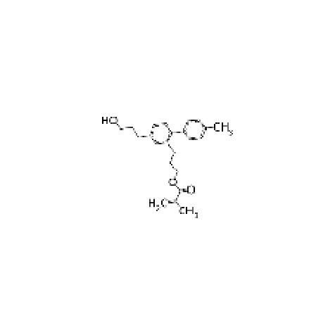 C=C(C)C(=O)OCCCc1cc(CCCO)ccc1-c1ccc(C)cc1